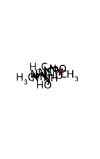 Cc1ncc(-c2nc(NCCO)c3sc(CN4CCN(C(=O)[C@H](C)O)CC4)c(C)c3n2)cn1